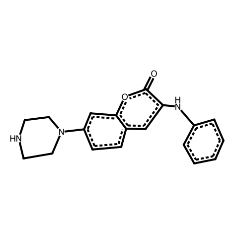 O=c1oc2cc(N3CCNCC3)ccc2cc1Nc1ccccc1